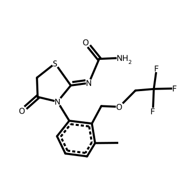 Cc1cccc(N2C(=O)CSC2=NC(N)=O)c1COCC(F)(F)F